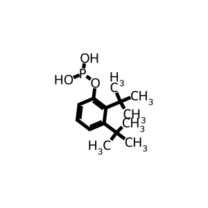 CC(C)(C)c1cccc(OP(O)O)c1C(C)(C)C